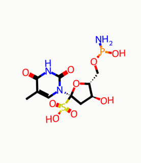 Cc1cn([C@@]2(S(=O)(=O)O)C[C@H](O)[C@@H](COP(N)O)O2)c(=O)[nH]c1=O